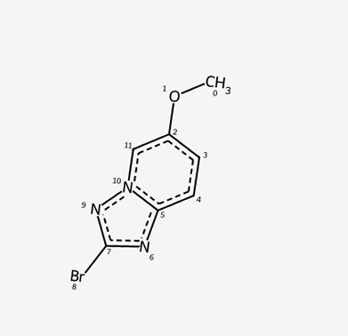 COc1ccc2nc(Br)nn2c1